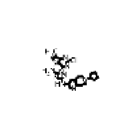 Cc1csc2c(-n3nc(Nc4cnc5c(c4)CCN(C4CCCC4)CC5)nc3N)nc(Cl)nc12